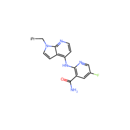 CC(C)Cn1ccc2c(Nc3ncc(F)cc3C(N)=O)ccnc21